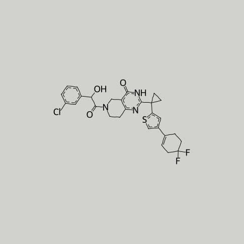 O=C(C(O)c1cccc(Cl)c1)N1CCc2nc(C3(c4cc(C5=CCC(F)(F)CC5)cs4)CC3)[nH]c(=O)c2C1